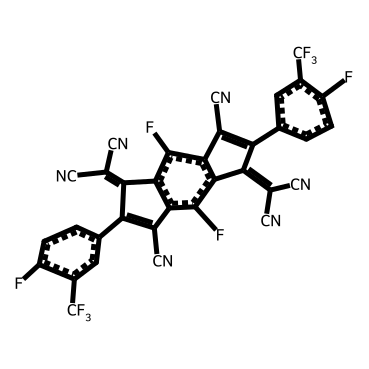 N#CC(C#N)=C1C(c2ccc(F)c(C(F)(F)F)c2)=C(C#N)c2c(F)c3c(c(F)c21)C(C#N)=C(c1ccc(F)c(C(F)(F)F)c1)C3=C(C#N)C#N